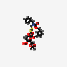 COC(=O)[C@@]1(OCSSCN(Cc2ccccc2)C(=O)OCc2ccccc2)C[C@@H](C)[C@@H](O)C([C@H]2COC(C)(C)O2)O1